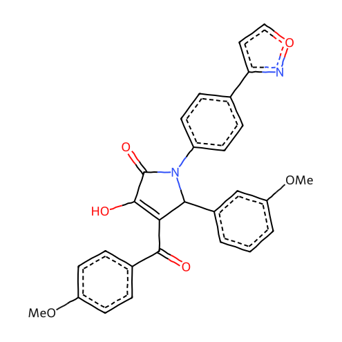 COc1ccc(C(=O)C2=C(O)C(=O)N(c3ccc(-c4ccon4)cc3)C2c2cccc(OC)c2)cc1